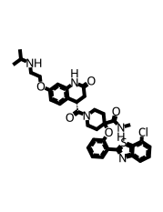 CNC(=O)C1(Oc2ccccc2-c2nc3cccc(Cl)c3s2)CCN(C(=O)[C@H]2CC(=O)Nc3cc(OCCNC(C)C)ccc32)CC1